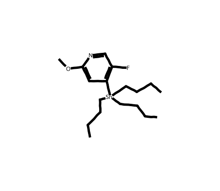 CCC[CH2][Sn]([CH2]CCC)([CH2]CCC)[c]1cc(OC)ncc1F